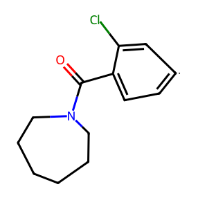 O=C(c1cc[c]cc1Cl)N1CCCCCC1